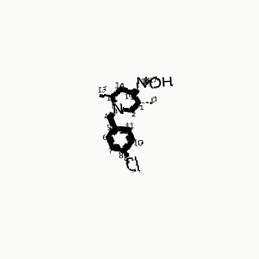 C[C@@H]1CN(Cc2ccc(Cl)cc2)[C@@H](C)C/C1=N/O